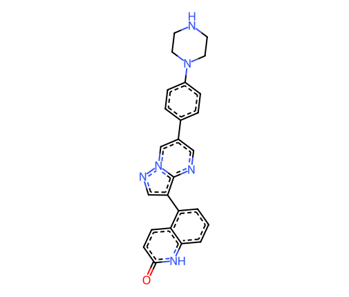 O=c1ccc2c(-c3cnn4cc(-c5ccc(N6CCNCC6)cc5)cnc34)cccc2[nH]1